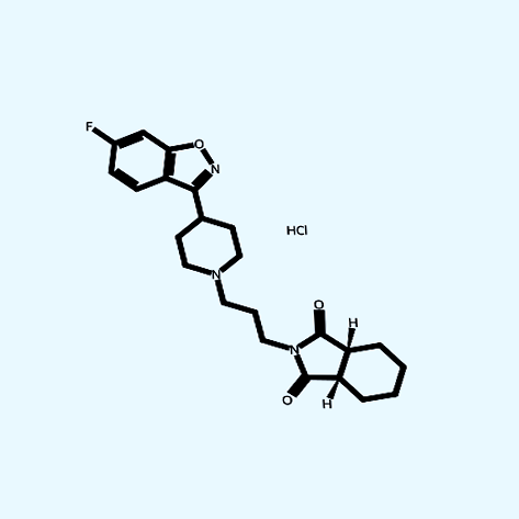 Cl.O=C1[C@H]2CCCC[C@H]2C(=O)N1CCCN1CCC(c2noc3cc(F)ccc23)CC1